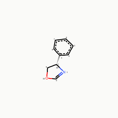 [C]1=N[C@@H](c2ccccc2)CO1